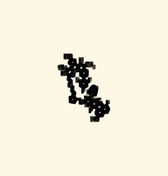 C#Cc1c(F)ccc2cc(O)cc(-c3ncc4c(N5CC6CCC(C5)N6)nc(OC[C@@H]5CCCN5CCCOCCC(=O)N[C@H](C(=O)N5C[C@H](O)C[C@H]5C(=O)N[C@@H](C)c5ccc(-c6c(F)cc(F)cc6F)cc5)C(C)(C)C)nc4c3F)c12